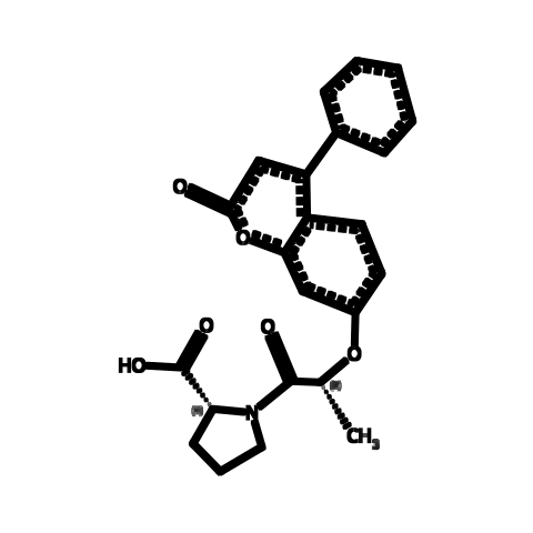 C[C@@H](Oc1ccc2c(-c3ccccc3)cc(=O)oc2c1)C(=O)N1CCC[C@@H]1C(=O)O